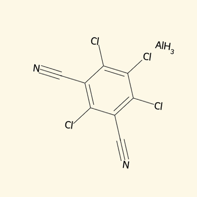 N#Cc1c(Cl)c(Cl)c(Cl)c(C#N)c1Cl.[AlH3]